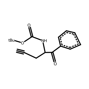 C#CCC(NC(=O)OC(C)(C)C)C(=O)c1ccccc1